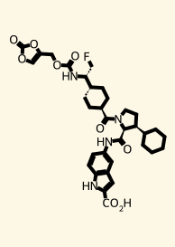 O=C(N[C@H](CF)[C@H]1CC[C@H](C(=O)N2CC[C@@H](C3CCCCC3)[C@H]2C(=O)Nc2ccc3[nH]c(C(=O)O)cc3c2)CC1)OCc1coc(=O)o1